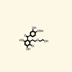 CCc1c(O)cc(O)c(C(=O)c2ccc(OC)c(O)c2)c1CCOCCO